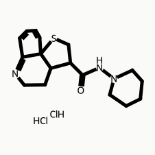 Cl.Cl.O=C(NN1CCCCC1)C1CSC23C=CC=CC2=NCCC13